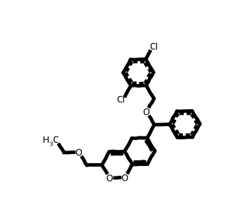 CCOCC1C=C2CC(C(OCc3cc(Cl)ccc3Cl)c3ccccc3)=CC=C2OO1